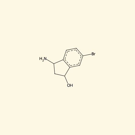 NC1CC(O)c2cc(Br)ccc21